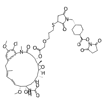 COc1cc2cc(c1Cl)N(C)C(=O)C[C@H](OC(=O)COCCCSC1CC(=O)N(C[C@H]3CC[C@H](C(=O)ON4C(=O)CCC4=O)CC3)C1=O)[C@]1(C)O[C@H]1[C@H](C)[C@@H]1C[C@@](O)(NC(=O)O1)[C@H](OC)/C=C/C=C(\C)C2